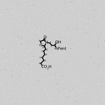 CCCCCC(O)CCN1C(=O)CSC1CCCCCCC(=O)O